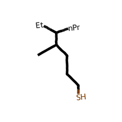 CCCC(CC)C(C)CCCS